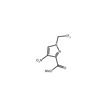 COC(=O)c1nn(CC(F)(F)F)cc1[N+](=O)[O-]